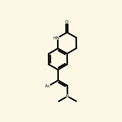 CC(=O)C(=CN(C)C)c1ccc2c(c1)CCC(=O)N2